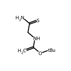 C=C(NCC(N)=S)OC(C)(C)C